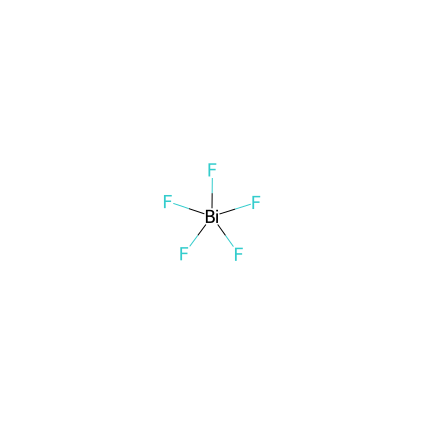 [F][Bi]([F])([F])([F])[F]